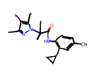 Cc1nn(C(C)(C)C(=O)Nc2ccc(C#N)cc2C2CC2)c(C)c1I